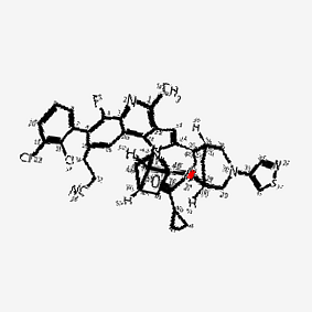 Cc1nc2c(F)c(-c3cccc(Cl)c3Cl)c(CCC#N)cc2c2c1cc([C@H]1[C@H]3C[C@H](CN(c4cnsc4)C3)N1C(=O)C1CC1)n2[C@H]1[C@H]2CN[C@@H]1C2